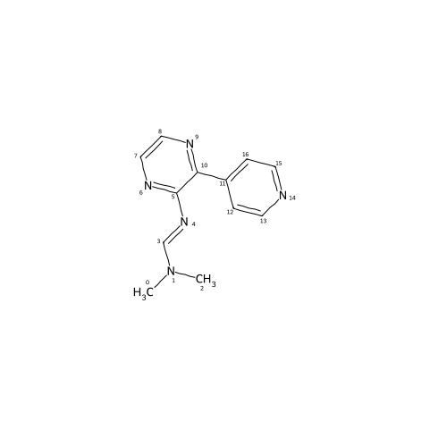 CN(C)C=Nc1nccnc1-c1ccncc1